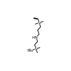 C=C[Si](C)(C)CCCNCC[Si](C)(C)C(C)(C)C